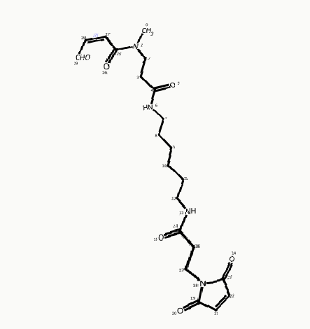 CN(CCC(=O)NCCCCCCNC(=O)CCN1C(=O)C=CC1=O)C(=O)/C=C\C=O